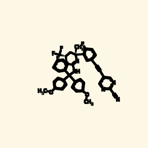 COc1ccc(C(NC2=N[C@](C)(c3cc(C#Cc4cnc(C#N)nc4)ccc3F)C[C@@H](C(F)(F)F)O2)(c2ccccc2)c2ccc(OC)cc2)cc1